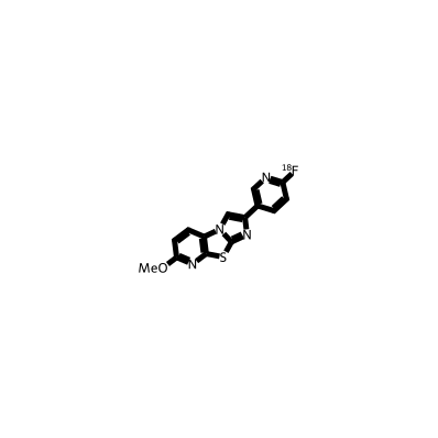 COc1ccc2c(n1)sc1nc(-c3ccc([18F])nc3)cn12